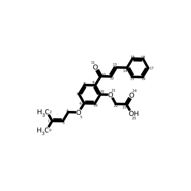 CC(C)=CCOc1ccc(C(=O)C=Cc2ccccc2)c(OCC(=O)O)c1